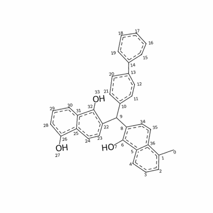 Cc1cccc2c(O)c(C(c3ccc(-c4ccccc4)cc3)c3ccc4c(O)cccc4c3O)ccc12